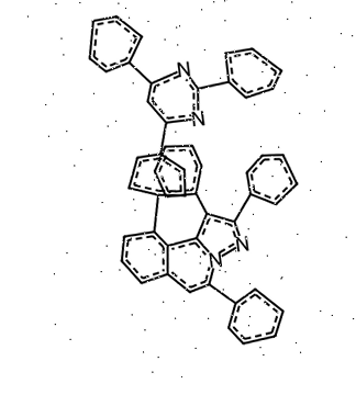 c1ccc(-c2cc(-c3ccc(-c4cccc5cc(-c6ccccc6)n6nc(-c7ccccc7)c(-c7ccccc7)c6c45)cc3)nc(-c3ccccc3)n2)cc1